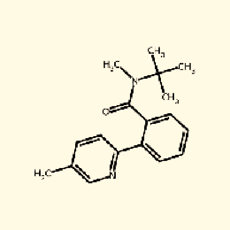 Cc1ccc(-c2ccccc2C(=O)N(C)C(C)(C)C)nc1